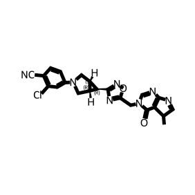 CC1C=Nc2ncn(Cc3nc([C@H]4[C@@H]5CN(c6ccc(C#N)c(Cl)c6)C[C@@H]54)no3)c(=O)c21